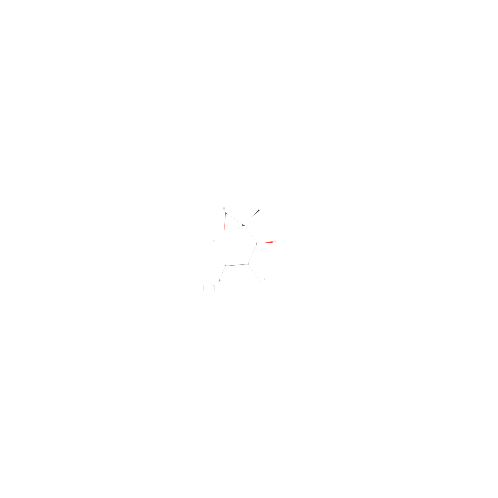 CC(C)CC(C)[C@H](O)[C@@]1(C)CO1